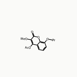 COc1c(OC(C)=O)c2cccc(OC(C)C)c2oc1=O